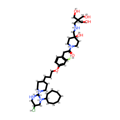 O=C(Cc1ccc(OCCCC2CCN(C3NCC(Cl)CN3C3CCCCCCC3)CC2)cc1F)N1CCC(O)(CNCC(CO)(CO)CO)CC1